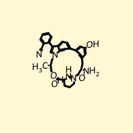 C[C@@H]1COC(=O)[C@@H]2CCCN(N2)C(=O)[C@@H](N)Cc2cc(O)cc(c2)-c2ccc3c(-c4ccccc4C#N)cn(c3c2)C1